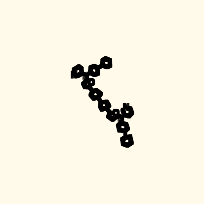 c1ccc(-c2ccc(N(c3cccnc3)c3ccc(-c4ccc(-c5ccc(-c6ccc(N(c7ccc(-c8ccccc8)cc7)c7cccnc7)o6)cc5)cc4)o3)cc2)cc1